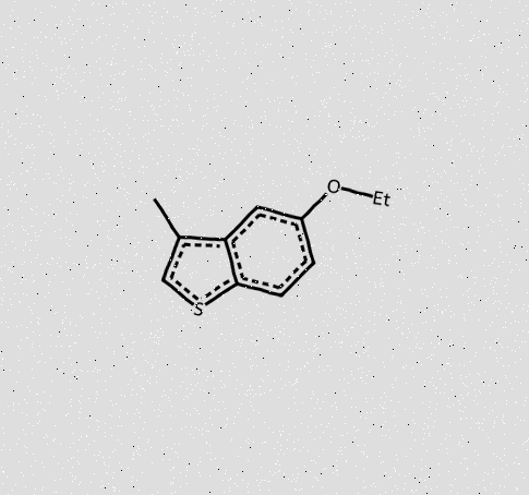 CCOc1ccc2scc(C)c2c1